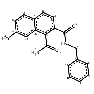 NC(=O)c1c(C(=O)NCc2ccccc2)ccc2ccc(O)cc12